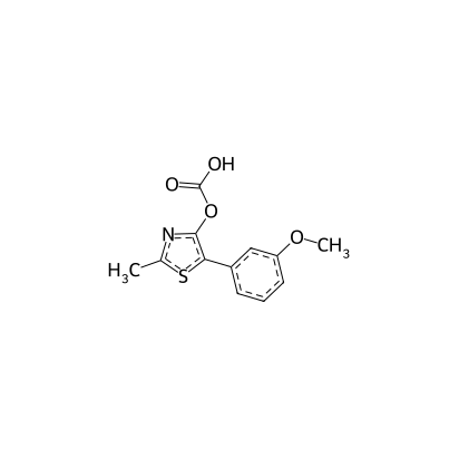 COc1cccc(-c2sc(C)nc2OC(=O)O)c1